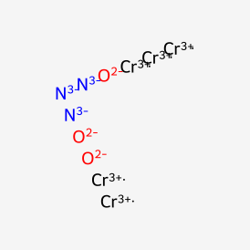 [Cr+3].[Cr+3].[Cr+3].[Cr+3].[Cr+3].[N-3].[N-3].[N-3].[O-2].[O-2].[O-2]